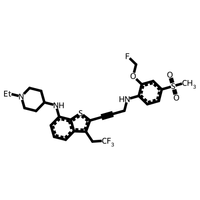 CCN1CCC(Nc2cccc3c(CC(F)(F)F)c(C#CCNc4ccc(S(C)(=O)=O)cc4OCF)sc23)CC1